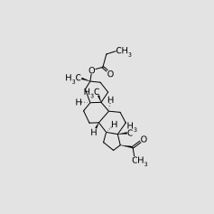 CCC(=O)O[C@]1(C)CC[C@@]2(C)[C@@H](CC[C@@H]3[C@@H]2CC[C@]2(C)[C@@H](C(C)=O)CC[C@@H]32)C1